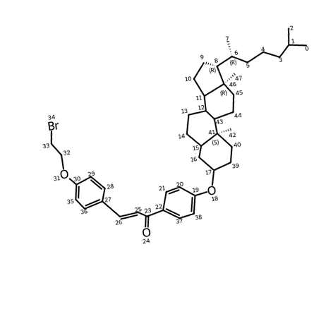 CC(C)CCC[C@@H](C)[C@H]1CCC2C3CCC4CC(Oc5ccc(C(=O)C=Cc6ccc(OCCBr)cc6)cc5)CC[C@]4(C)C3CC[C@@]21C